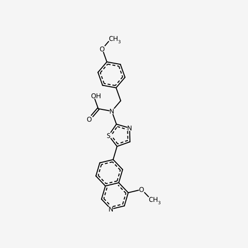 COc1ccc(CN(C(=O)O)c2ncc(-c3ccc4cncc(OC)c4c3)s2)cc1